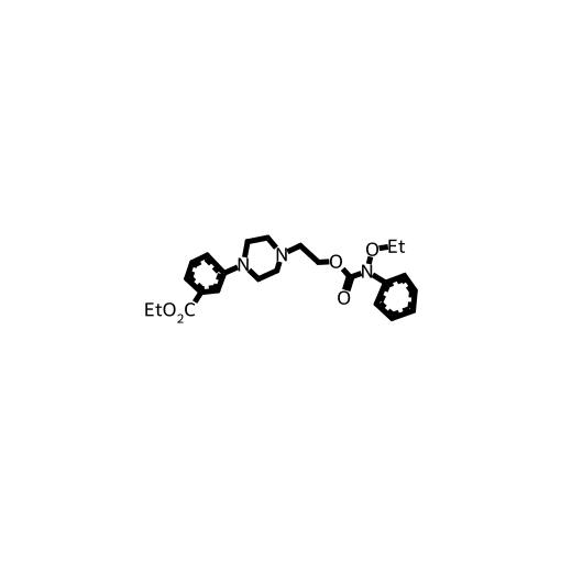 CCOC(=O)c1cccc(N2CCN(CCOC(=O)N(OCC)c3ccccc3)CC2)c1